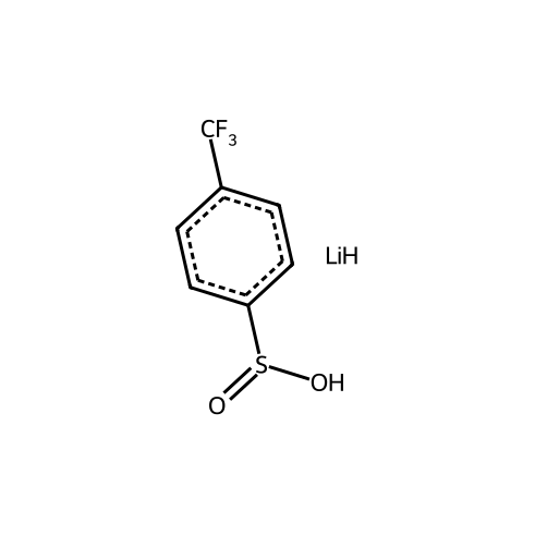 O=S(O)c1ccc(C(F)(F)F)cc1.[LiH]